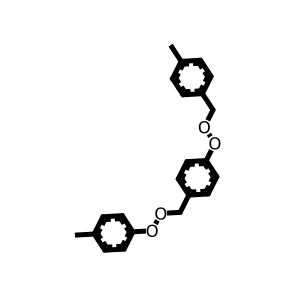 Cc1ccc(COOc2ccc(COOc3ccc(C)cc3)cc2)cc1